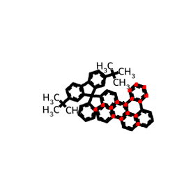 CC(C)(C)c1ccc2c(c1)C1(c3ccccc3-c3cc(N(c4ccccc4-c4ccccc4)c4ccccc4-c4ccccc4-c4ccccc4-c4ccccc4)ccc31)c1cc(C(C)(C)C)ccc1-2